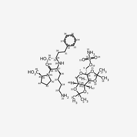 CC1(C)O[C@@H]2[C@@H](CO[C@@]3(COS(N)(=O)=O)OC(C)(C)O[C@@H]23)O1.NCCCC[C@H](N[C@@H](CCc1ccccc1)C(=O)O)C(=O)N1CCC[C@H]1C(=O)O